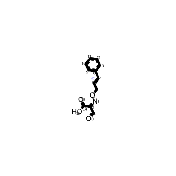 O=CC(=NOC/C=C/c1ccccc1)C(=O)O